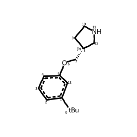 CC(C)(C)c1cccc(OC[C@@H]2CCNC2)c1